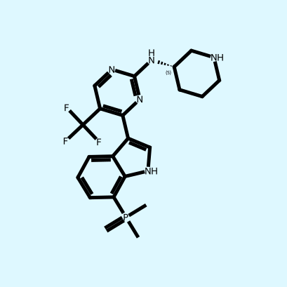 C=P(C)(C)c1cccc2c(-c3nc(N[C@H]4CCCNC4)ncc3C(F)(F)F)c[nH]c12